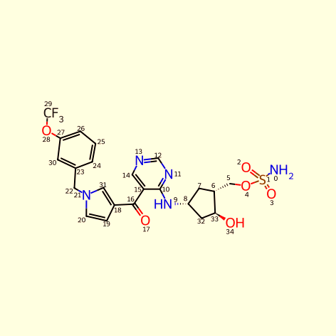 NS(=O)(=O)OC[C@H]1C[C@@H](Nc2ncncc2C(=O)c2ccn(Cc3cccc(OC(F)(F)F)c3)c2)C[C@@H]1O